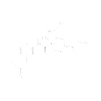 CN(C)C(=O)Oc1cccc(NC(=O)C2(NC(=O)OC(C)(C)C)CCN(C(=O)OC(C)(C)C)CC2)c1